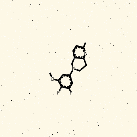 COc1cc(N2CCc3nc(C)ccc3C2)cc(F)c1F